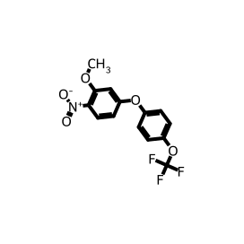 COc1cc(Oc2ccc(OC(F)(F)F)cc2)ccc1[N+](=O)[O-]